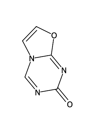 O=c1ncn2ccoc2n1